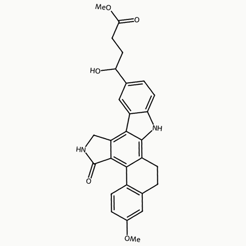 COC(=O)CCC(O)c1ccc2[nH]c3c4c(c5c(c3c2c1)CNC5=O)-c1ccc(OC)cc1CC4